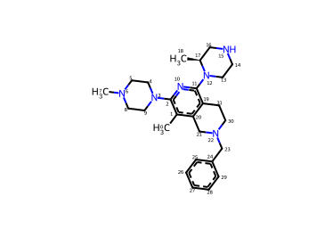 Cc1c(N2CCN(C)CC2)nc(N2CCNC[C@@H]2C)c2c1CN(Cc1ccccc1)CC2